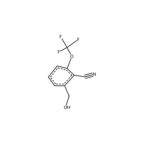 N#Cc1c(CO)cccc1OC(F)(F)F